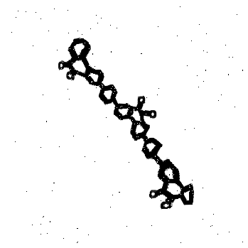 O=C1C(=O)c2cc(-c3ccc(-c4ccc5c(c4)C(=O)C(=O)c4cc(-c6ccc(-c7ccc8c(c7)C(=O)C(=O)c7ccccc7-8)cc6)ccc4-5)cc3)ccc2-c2ccccc21